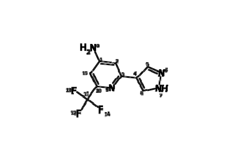 Nc1cc(-c2cn[nH]c2)nc(C(F)(F)F)c1